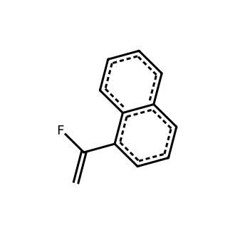 C=C(F)c1cccc2ccccc12